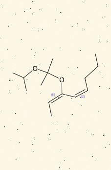 C/C=C(\C=C/CCC)OC(C)(C)OC(C)C